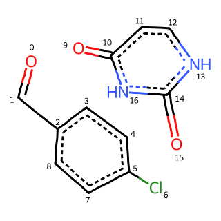 O=Cc1ccc(Cl)cc1.O=c1cc[nH]c(=O)[nH]1